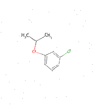 CC(C)Oc1[c]c(Cl)c[c]c1